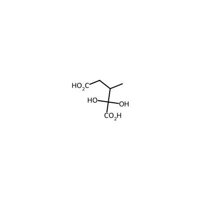 CC(CC(=O)O)C(O)(O)C(=O)O